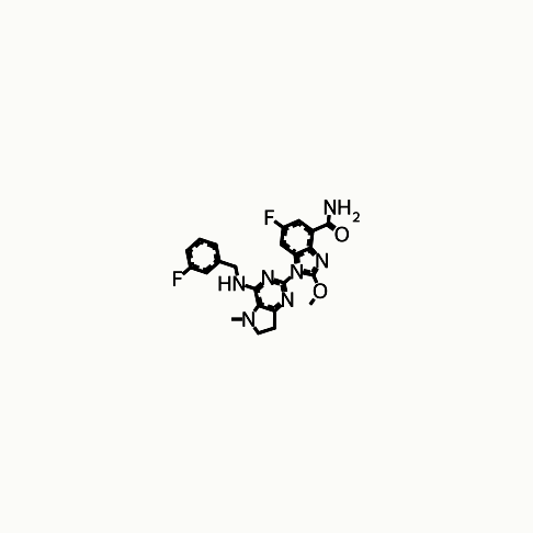 COc1nc2c(C(N)=O)cc(F)cc2n1-c1nc2c(c(NCc3cccc(F)c3)n1)N(C)CC2